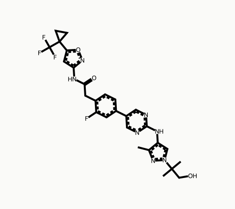 Cc1nn(C(C)(C)CO)cc1Nc1ncc(-c2ccc(CC(=O)Nc3cc(C4(C(F)(F)F)CC4)on3)c(F)c2)cn1